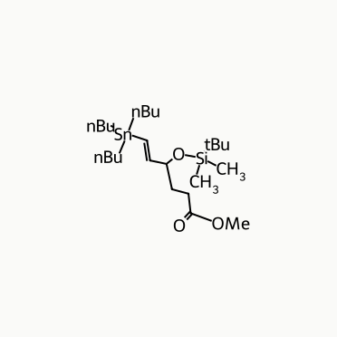 CCC[CH2][Sn](/[CH]=C/C(CCC(=O)OC)O[Si](C)(C)C(C)(C)C)([CH2]CCC)[CH2]CCC